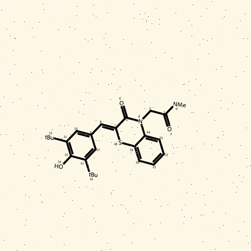 CNC(=O)CN1C(=O)C(=Cc2cc(C(C)(C)C)c(O)c(C(C)(C)C)c2)Sc2ccccc21